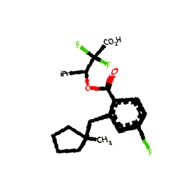 CC(C)C(OC(=O)c1ccc(F)cc1CC1(C)CCCC1)C(F)(F)C(=O)O